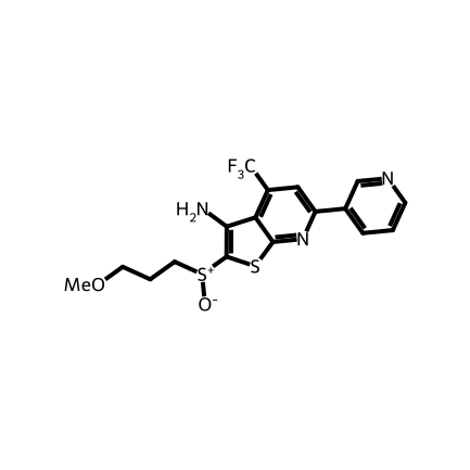 COCCC[S+]([O-])c1sc2nc(-c3cccnc3)cc(C(F)(F)F)c2c1N